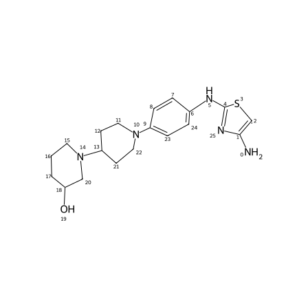 Nc1[c]sc(Nc2ccc(N3CCC(N4CCCC(O)C4)CC3)cc2)n1